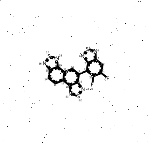 Fc1cc2nsnc2c(-c2cc3c(ccc4nsnc43)c3nsnc23)c1F